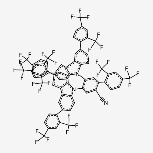 N#Cc1cc(-n2c3ccc(-c4ccc(C(F)(F)F)cc4C(F)(F)F)cc3c3cc(-c4ccc(C(F)(F)F)cc4C(F)(F)F)ccc32)c(-n2c3ccc(-c4ccc(C(F)(F)F)cc4C(F)(F)F)cc3c3cc(-c4ccc(C(F)(F)F)cc4C(F)(F)F)ccc32)cc1-c1ccc(C(F)(F)F)cc1C(F)(F)F